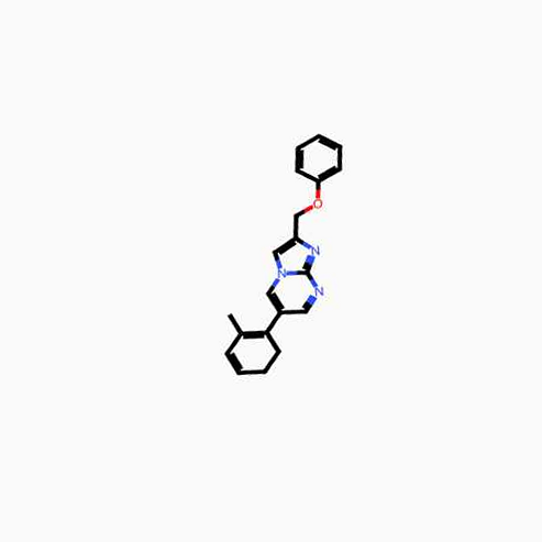 CC1=C(c2cnc3nc(COc4ccccc4)cn3c2)CCC=C1